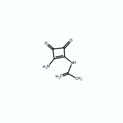 [CH2]C(=C)Nc1c(N)c(=O)c1=O